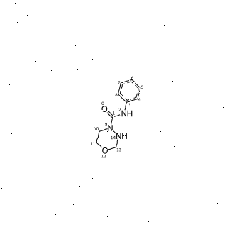 O=C(Nc1ccccc1)N1CCOCN1